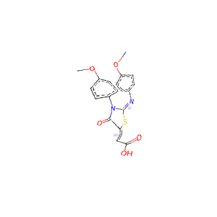 COc1ccc(/N=C2/S/C(=C\C(=O)O)C(=O)N2c2ccc(OC)cc2)cc1